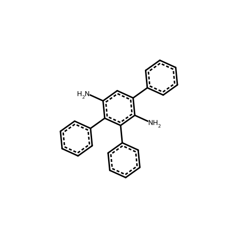 Nc1cc(-c2ccccc2)c(N)c(-c2ccccc2)c1-c1ccccc1